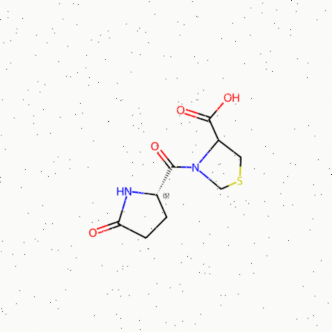 O=C1CC[C@@H](C(=O)N2CSCC2C(=O)O)N1